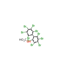 Brc1c(Br)c(Br)c(-c2c(Br)c(Br)c(Br)c(Br)c2Br)c(Br)c1Br.O=C(O)O